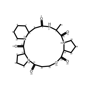 CC1NC(=O)CC2CCCCN2C(=O)C2CCCN2C(=O)CCOC(=O)C2CCCN2C1=O